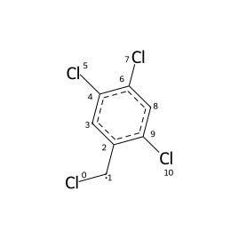 Cl[CH]c1cc(Cl)c(Cl)cc1Cl